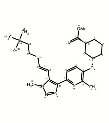 COC(=O)[C@H]1CCC[C@H](Oc2ccc(-c3nnn(C)c3/C=C/OCC[Si](C)(C)C)nc2C)C1